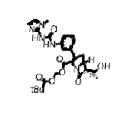 C[C@@H](O)[C@H]1C(=O)N2C(C(=O)OCOC(=O)C(C)(C)C)=C(c3cccc(NC(=O)Nc4nccn4C)c3)C[C@H]12